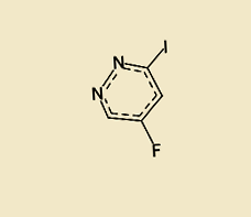 Fc1cnnc(I)c1